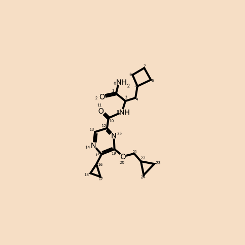 NC(=O)C(CC1CCC1)NC(=O)c1cnc(C2CC2)c(OCC2CC2)n1